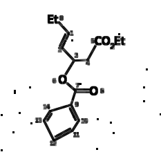 CCC=CC(CC(=O)OCC)OC(=O)c1ccccc1